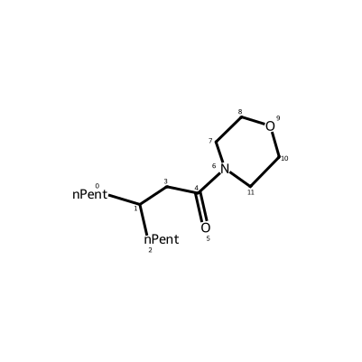 CCCCCC(CCCCC)CC(=O)N1CCOCC1